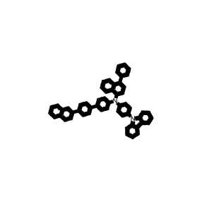 c1ccc(-c2ccc(N(c3ccc(-c4ccc(-c5ccc6ccccc6c5)cc4)cc3)c3ccc(-n4c5ccccc5c5ccccc54)cc3)c3ccccc23)cc1